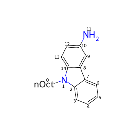 CCCCCCCCn1c2ccccc2c2cc(N)ccc21